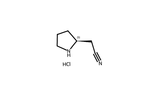 Cl.N#CC[C@@H]1CCCN1